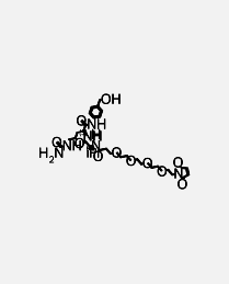 CC(C)[C@H](NC(=O)CCOCCOCCOCCOCCN1C(=O)C=CC1=O)C(=O)N[C@@H](CCCNC(N)=O)C(=O)Nc1ccc(CO)cc1